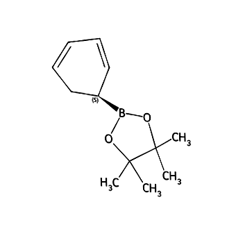 CC1(C)OB([C@@H]2C=CC=CC2)OC1(C)C